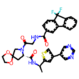 CC(NC(=O)[C@@H]1CC2(CN1C(=O)CNC(=O)c1ccc3c(c1)-c1ccccc1C3(F)F)OCCO2)c1cc(-c2cncnc2)cs1